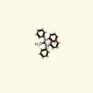 CC([As](c1ccccc1)c1ccccc1)[As](c1ccccc1)c1ccccc1